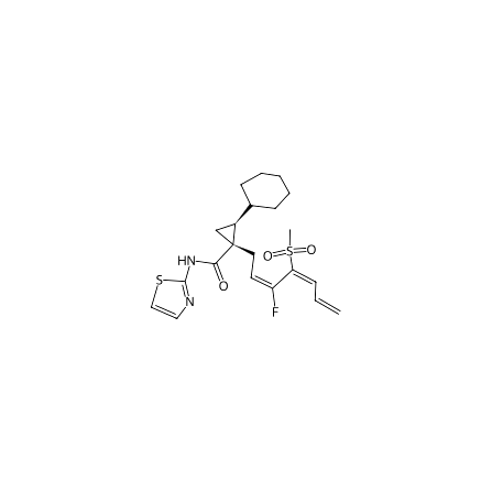 C=C/C=C(\C(F)=C/C[C@@]1(C(=O)Nc2nccs2)C[C@H]1C1CCCCC1)S(C)(=O)=O